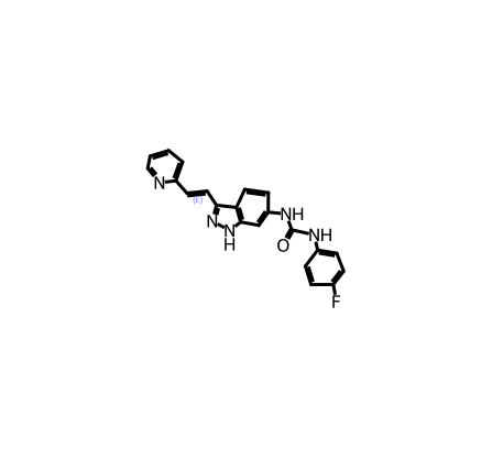 O=C(Nc1ccc(F)cc1)Nc1ccc2c(/C=C/c3ccccn3)n[nH]c2c1